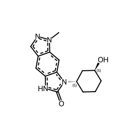 Cn1ncc2cc3[nH]c(=O)n([C@H]4CCC[C@H](O)C4)c3cc21